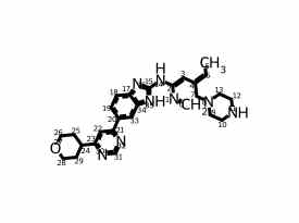 C=N/C(=C\C(=C/C)CN1CCNCC1)Nc1nc2ccc(-c3cc(C4CCOCC4)ncn3)cc2[nH]1